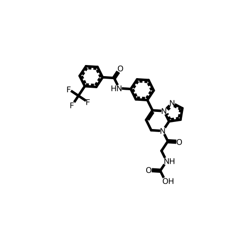 O=C(O)NCC(=O)N1CC=C(c2cccc(NC(=O)c3cccc(C(F)(F)F)c3)c2)n2nccc21